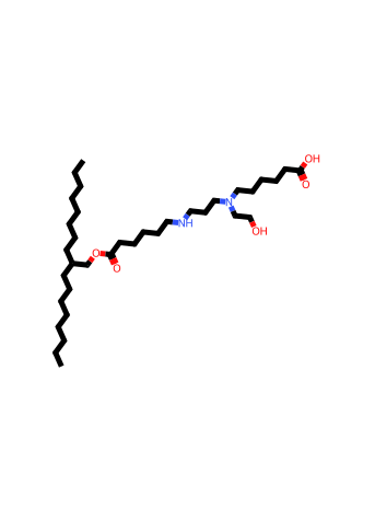 CCCCCCCCC(CCCCCCCC)COC(=O)CCCCCNCCCN(CCO)CCCCCC(=O)O